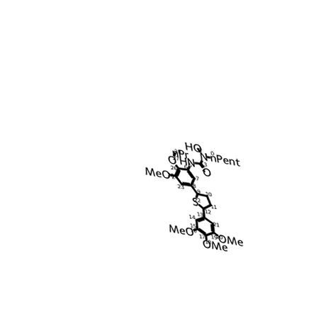 CCCCCN(O)C(=O)Nc1cc(C2CCC(c3cc(OC)c(OC)c(OC)c3)S2)cc(OC)c1OCCC